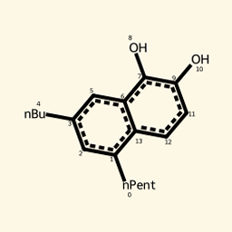 CCCCCc1cc(CCCC)cc2c(O)c(O)ccc12